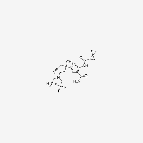 CCN(CCC(C)(CC#N)n1cc(C(N)=O)c(NC(=O)C2CC23CC3)n1)CC(F)(F)F